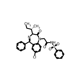 CC[C@H](C)C1N=C(c2ccccc2)c2cc(Cl)ccc2N(CC(=O)NS(=O)(=O)c2ccccc2)C1=O